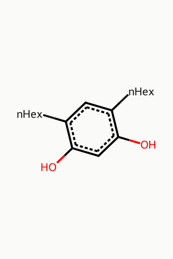 CCCCCCc1cc(CCCCCC)c(O)cc1O